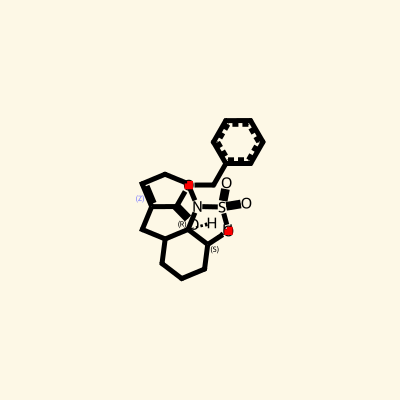 O=C(OCc1ccccc1)/C1=C\CCN2[C@@H]3C(CCC[C@@H]3OS2(=O)=O)C1